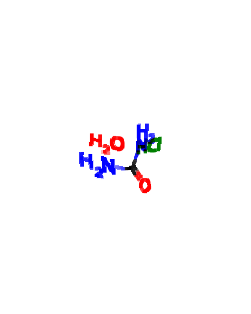 Cl.NC(N)=O.O